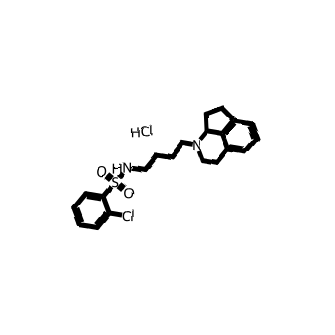 Cl.O=S(=O)(NCCCCN1CCc2cccc3c2C1CC3)c1ccccc1Cl